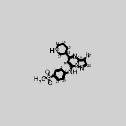 CS(=O)(=O)c1ccc(Nc2cc(C3CCCNC3)nc3c(Br)cnn23)cc1